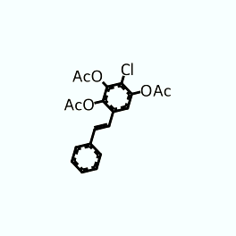 CC(=O)Oc1cc(C=Cc2ccccc2)c(OC(C)=O)c(OC(C)=O)c1Cl